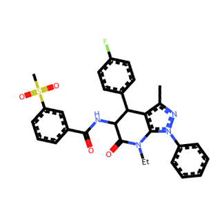 CCN1C(=O)C(NC(=O)c2cccc(S(C)(=O)=O)c2)C(c2ccc(F)cc2)c2c(C)nn(-c3ccccc3)c21